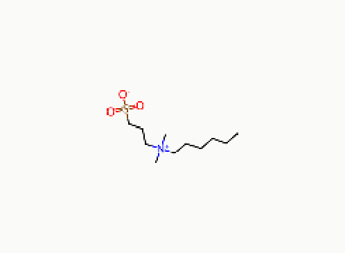 CCCCCC[N+](C)(C)CCCS(=O)(=O)[O-]